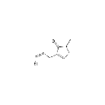 CC/C=C\CC1=CCC(C)C1=O